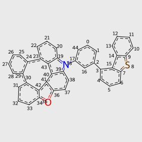 c1cc(-c2cccc3sc4ccccc4c23)cc(-n2c3cccc4c5ccccc5c5cccc6oc7ccc2c(c7c65)c43)c1